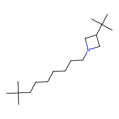 CC(C)(C)CCCCCCCN1CC(C(C)(C)C)C1